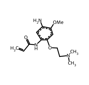 C=CC(=O)Nc1cc(N)c(OC)cc1OCCN(C)C